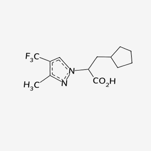 Cc1nn(C(CC2CCCC2)C(=O)O)cc1C(F)(F)F